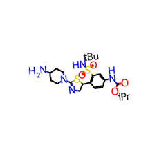 CC(C)OC(=O)Nc1ccc(C2CN=C(N3CCC(N)CC3)S2)c(S(=O)(=O)NC(C)(C)C)c1